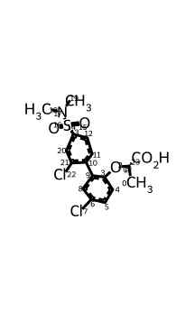 C[C@H](Oc1ccc(Cl)cc1-c1ccc(S(=O)(=O)N(C)C)cc1Cl)C(=O)O